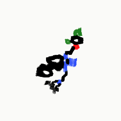 CCN(CC)CCCn1c(=N)n(CCCOc2ccc(Cl)cc2Cl)c2ccc(-c3ccccc3)cc21